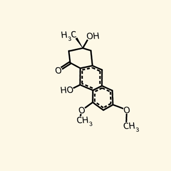 COc1cc(OC)c2c(O)c3c(cc2c1)C[C@@](C)(O)CC3=O